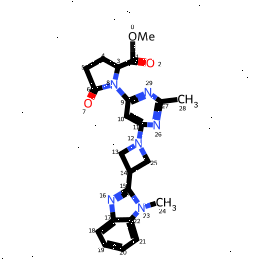 COC(=O)C1CCC(=O)N1c1cc(N2CC(c3nc4ccccc4n3C)C2)nc(C)n1